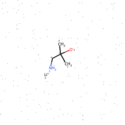 CC(C)([O-])CN.[Li+]